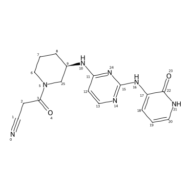 N#CCC(=O)N1CCC[C@@H](Nc2ccnc(Nc3ccc[nH]c3=O)n2)C1